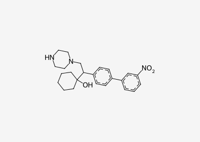 O=[N+]([O-])c1cccc(-c2ccc(C(CN3CCNCC3)C3(O)CCCCC3)cc2)c1